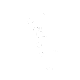 CSCCN1[C@H](CCOC(=N)N)CCC[C@H]1c1ccc(-n2cc3cc(-c4cc(CCC[C@H](C)N)cc(Cl)c4F)[nH]c3nc2=O)cc1